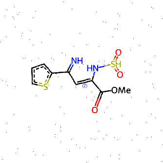 COC(=O)/C(=C/C(=N)c1cccs1)N[SH](=O)=O